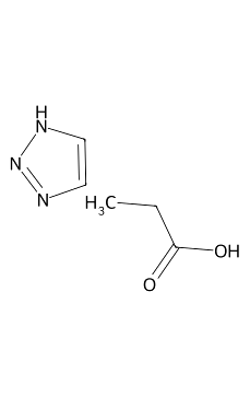 CCC(=O)O.c1c[nH]nn1